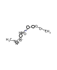 CCCCOCCOc1ccc(-c2cccc(/C=C/C(=O)Nc3ccc([S+]([O-])Cc4nncn4CCC)cc3)c2)cc1